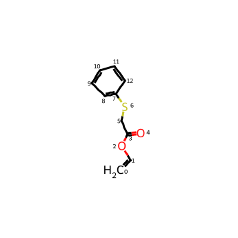 C=COC(=O)CSc1ccccc1